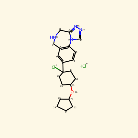 Cl.ClC1(c2ccc3c(c2)CNCc2nncn2-3)CCC(OC2CCCC2)CC1